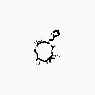 C/C1=C\CC[C@@]2(C)O[C@H]2C[C@@H](C=Cc2ccccn2)OC(=O)C[C@H](O)C(C)(C)C(=O)[C@H](C)[C@H]1O